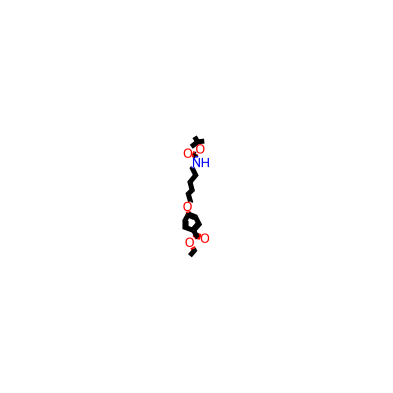 CCOC(=O)c1ccc(OCCCCCCNC(=O)OC(C)(C)C)cc1